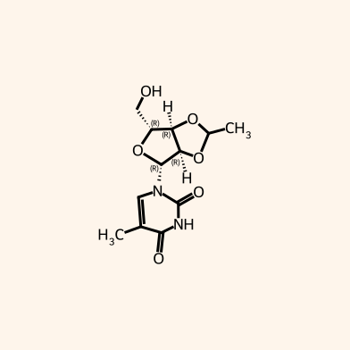 Cc1cn([C@@H]2O[C@H](CO)[C@H]3OC(C)O[C@H]32)c(=O)[nH]c1=O